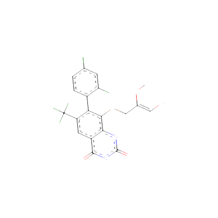 CO/C(=C\O)CSc1c(-c2ccc(F)cc2F)c(C(F)(F)F)cc2c(=O)[nH]c(=O)[nH]c12